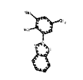 Cc1cc(-n2nc3c[c]ccc3n2)c(O)c(C(C)(C)C)c1